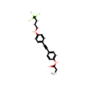 CCC(=O)Oc1ccc(C#Cc2ccc(OCCCC(F)(F)F)cc2)cc1